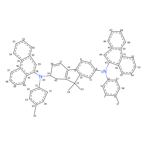 Cc1ccc(N(c2ccc3c(c2)C(C)(C)C2=C3C=CC(N(c3ccc(C)cc3)c3cc4ccccc4c4ccccc34)C2)c2cc3ccccc3c3ccccc23)cc1